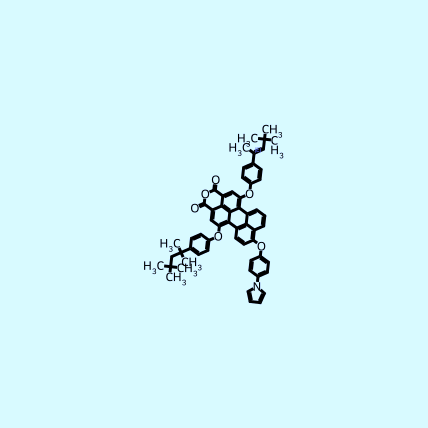 C/C(=C\C(C)(C)C)c1ccc(Oc2cc3c4c(cc(Oc5ccc(C(C)(C)CC(C)(C)C)cc5)c5c6ccc(Oc7ccc(-n8cccc8)cc7)c7cccc(c2c45)c76)C(=O)OC3=O)cc1